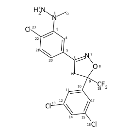 CN(N)c1cc(C2=NOC(c3cc(Cl)cc(Cl)c3)(C(F)(F)F)C2)ccc1Cl